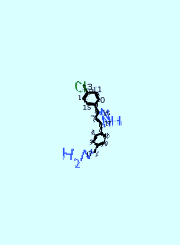 NCc1ccc(-c2cc(-c3ccc(Cl)cc3)n[nH]2)cc1